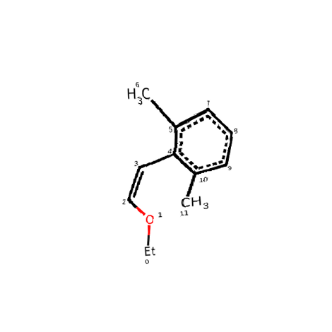 CCO/C=C\c1c(C)cccc1C